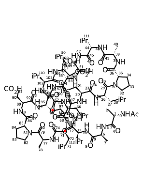 CC(=O)N[C@@H](C)C(=O)N[C@@H](C)C(=O)N[C@H](C(=O)N[C@@H](C)C(=O)N[C@@H](CC(C)C)C(=O)N[C@@H](CC(C)C)C(=O)N1CCC[C@H]1C(=O)N[C@@H](C)C(=O)N[C@H](C(=O)N[C@@H](CC(C)C)C(=O)N[C@@H](CC(C)C)C(=O)N[C@@H](C)C(=O)N[C@@H](CC(C)C)C(=O)N[C@@H](CC(C)C)C(=O)N[C@@H](C)C(=O)N1CCC[C@H]1C(=O)N[C@@H](CC(=O)O)C(=O)N[C@@H](CCC(=O)O)C(=O)N[C@H](C(=O)N[C@@H](CC(=O)O)C(=O)O)C(C)C)C(C)C)C(C)C